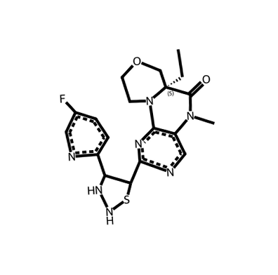 CC[C@@]12COCCN1c1nc(C3SNNC3c3ccc(F)cn3)ncc1N(C)C2=O